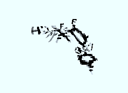 O=S(=O)(c1ccc(F)cc1)c1ccc(F)c(SC(F)(F)C(F)(F)S(=O)(=O)O)c1